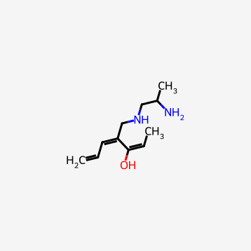 C=C/C=C(CNCC(C)N)\C(O)=C/C